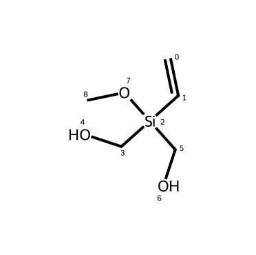 C=C[Si](CO)(CO)OC